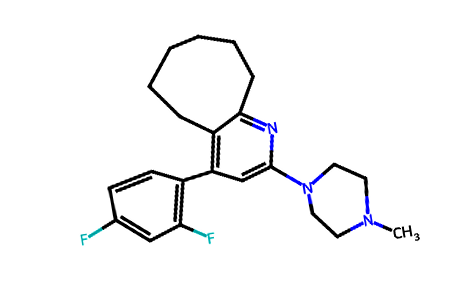 CN1CCN(c2cc(-c3ccc(F)cc3F)c3c(n2)CCCCCC3)CC1